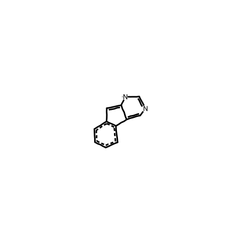 C1=NC=C2C(=Cc3ccccc32)[N]1